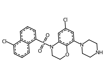 O=S(=O)(c1cccc2c(Cl)cccc12)N1CCOc2c(N3CCNCC3)cc(Cl)cc21